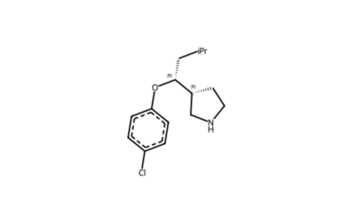 CC(C)C[C@@H](Oc1ccc(Cl)cc1)[C@@H]1CCNC1